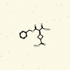 COC(=O)C(C(=O)OCc1ccccc1)=C1CC(C(=O)OC)C1